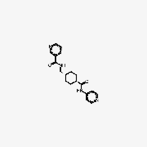 O=C(NC[C@H]1CC[C@H](C(=O)Nc2ccncc2)CC1)c1cccnc1